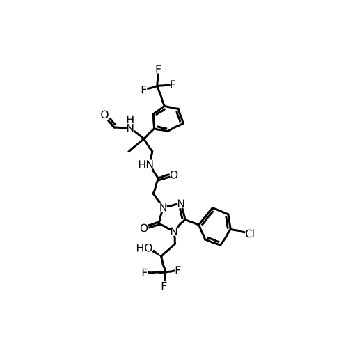 CC(CNC(=O)Cn1nc(-c2ccc(Cl)cc2)n(C[C@H](O)C(F)(F)F)c1=O)(NC=O)c1cccc(C(F)(F)F)c1